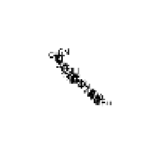 CC(C)(C)OC(=O)N1CCN(CCC2CCN(c3ccc(C(=O)N[C@H]4CC[C@H](Oc5ccc(C#N)c(Cl)c5)CC4)nn3)CC2)CC1